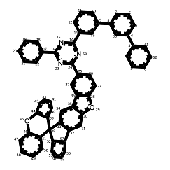 c1ccc(-c2cccc(-c3cccc(-c4nc(-c5ccccc5)nc(-c5ccc6oc7cc8c(cc7c6c5)C5(c6ccccc6Oc6ccccc65)c5ccccc5-8)n4)c3)c2)cc1